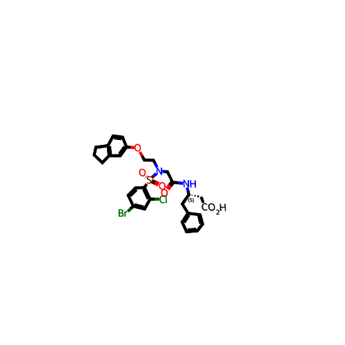 O=C(O)C[C@H](Cc1ccccc1)NC(=O)CN(CCOc1ccc2c(c1)CCC2)S(=O)(=O)c1ccc(Br)cc1Cl